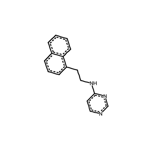 c1ccc2c(CCNc3ccncn3)cccc2c1